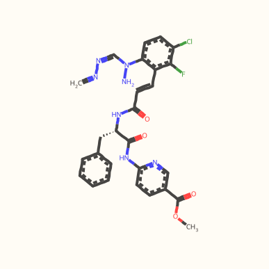 C=N/N=C\N(N)c1ccc(Cl)c(F)c1/C=C/C(=O)N[C@@H](Cc1ccccc1)C(=O)Nc1ccc(C(=O)OC)cn1